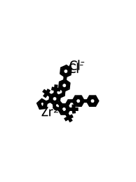 CC(C)(C)c1cc2c(c(=Cc3ccc(-c4ccccc4)cc3)c1C(C)(C)C)=c1c(c(C3=CC=CC3)c(C(C)(C)C)c(C(C)(C)C)c1=Cc1ccc(-c3ccccc3)cc1)[CH]2[Zr+2].[Cl-].[Cl-]